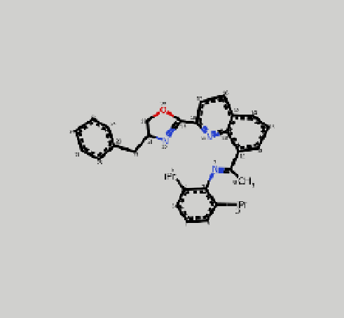 CC(=Nc1c(C(C)C)cccc1C(C)C)c1cccc2ccc(C3=NC(Cc4ccccc4)CO3)nc12